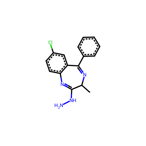 CC1N=C(c2ccccc2)c2cc(Cl)ccc2N=C1NN